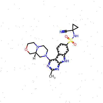 Cc1nc(N2CCN3CCOC[C@H]3C2)c2c(n1)[nH]c1cc(S(=O)(=O)NC3(C#N)CC3)ccc12